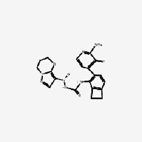 COc1nccc(-c2ccc3c(c2NC(=O)N[S@+]([O-])c2cnn4c2OCCC4)CC3)c1F